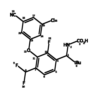 CC(C)(C)C(NC(=O)O)c1ccc(C(F)F)c(Oc2cc(Cl)cc(C#N)c2)c1F